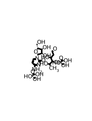 CC(O)C(O)C(O)CC=O.Nc1ccn([C@@H]2O[C@H](CO)[C@@H](O)[C@H]2O)c(=O)n1.O=P(O)(O)O.O=P(O)(O)O